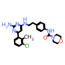 Cc1c(Cl)cccc1-c1cc(NCCc2ccc(NC(=O)N3CCOCC3)cc2)nc(N)n1